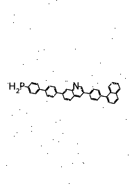 Pc1ccc(-c2ccc(-c3ccc4cc(-c5ccc(-c6cccc7ccccc67)cc5)cnc4c3)cc2)cc1